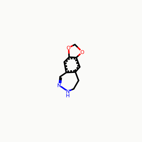 C1=NNCCc2cc3c(cc21)OCO3